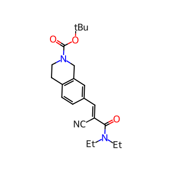 CCN(CC)C(=O)/C(C#N)=C/c1ccc2c(c1)CN(C(=O)OC(C)(C)C)CC2